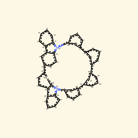 c1cc2cc(c1)c1cccc(c1)n1c3ccccc3c3cc(ccc31)c1ccc3c4ccccc4n(c4cccc(c4)c4cccc2c4)c3c1